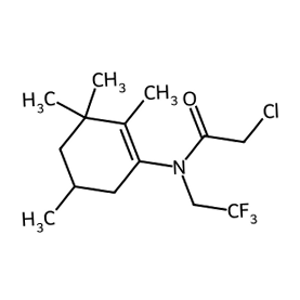 CC1=C(N(CC(F)(F)F)C(=O)CCl)CC(C)CC1(C)C